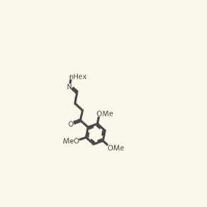 CCCCCCN=CCCC(=O)c1c(OC)cc(OC)cc1OC